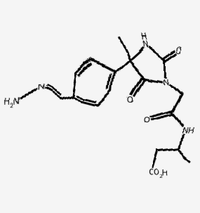 CC(CC(=O)O)NC(=O)CN1C(=O)NC(C)(c2ccc(C=NN)cc2)C1=O